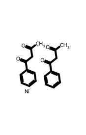 CC(=O)CC(=O)c1ccccc1.CC(=O)CC(=O)c1ccccc1.[Ni]